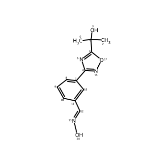 CC(C)(O)c1nc(-c2cccc(/C=N/O)c2)no1